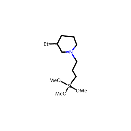 CCC1CCCN(CCC[Si](OC)(OC)OC)C1